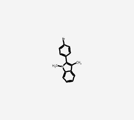 Cc1c(-c2ccc(Br)cc2)n(C)c2ccccc12